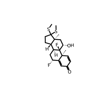 CSC1(SC)CC[C@H]2[C@@H]3C[C@@H](F)C4=CC(=O)C=C[C@]4(C)[C@@]3(F)[C@@H](O)C[C@@]21C